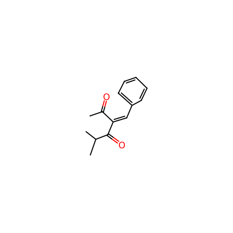 CC(=O)/C(=C\c1ccccc1)C(=O)C(C)C